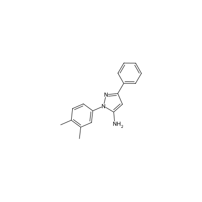 Cc1ccc(-n2nc(-c3ccccc3)cc2N)cc1C